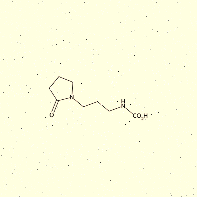 O=C(O)NCCCN1CCCC1=O